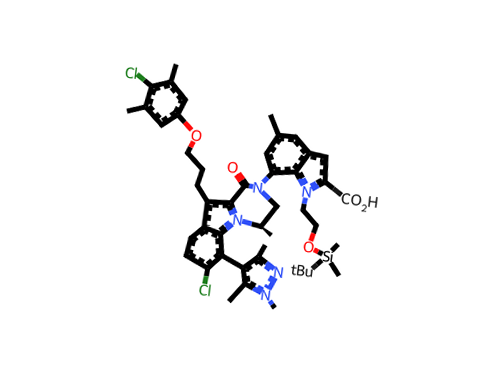 Cc1cc(N2C[C@@H](C)n3c(c(CCCOc4cc(C)c(Cl)c(C)c4)c4ccc(Cl)c(-c5c(C)nn(C)c5C)c43)C2=O)c2c(c1)cc(C(=O)O)n2CCO[Si](C)(C)C(C)(C)C